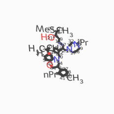 C=C(C)c1ccc2c(c1)N(CC1C(C)CC1C(/C=C/CC(O)C(C)SC)CN1CCCN(C(C)C)CC1)CC(c1ccc(C)cc1CCC)CO2